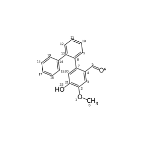 COc1cc(C=O)c(-c2ccccc2-c2ccccc2)cc1O